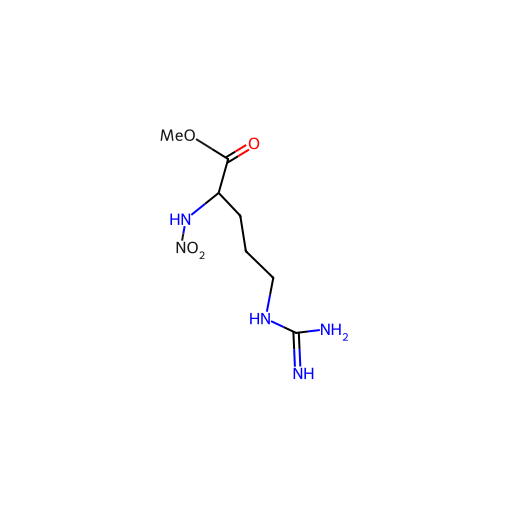 COC(=O)C(CCCNC(=N)N)N[N+](=O)[O-]